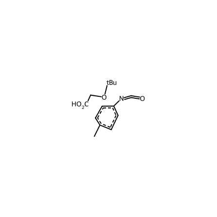 CC(C)(C)OCC(=O)O.Cc1ccc(N=C=O)cc1